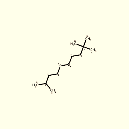 CC(C)CCSSCCC(C)(C)C